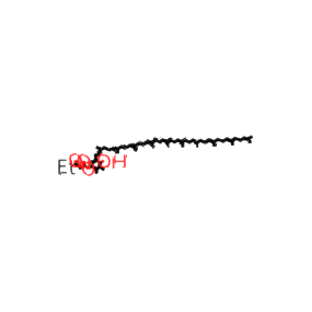 CCC(=O)CC(=O)Oc1cc(C/C=C(\C)CC/C=C(\C)CC/C=C(\C)CC/C=C(\C)CC/C=C(\C)CC/C=C(\C)CC/C=C(\C)CC/C=C(\C)CC/C=C(\C)CCC=C(C)C)c(O)c(C)c1C